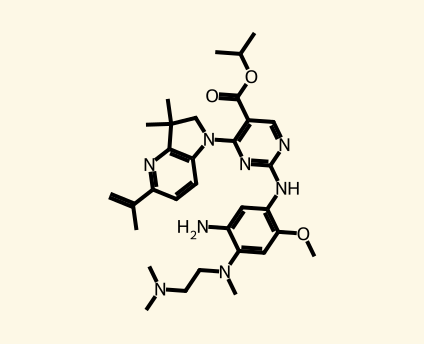 C=C(C)c1ccc2c(n1)C(C)(C)CN2c1nc(Nc2cc(N)c(N(C)CCN(C)C)cc2OC)ncc1C(=O)OC(C)C